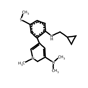 CSc1ccc(NCC2CC2)c(C2=CN(C)CC(N(C)C)=C2)c1